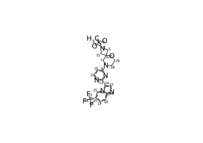 CS(=O)(=O)N1CC2(CN(c3ccnc(-c4cnc5ccc(C(F)(F)F)cn45)n3)CCO2)C1